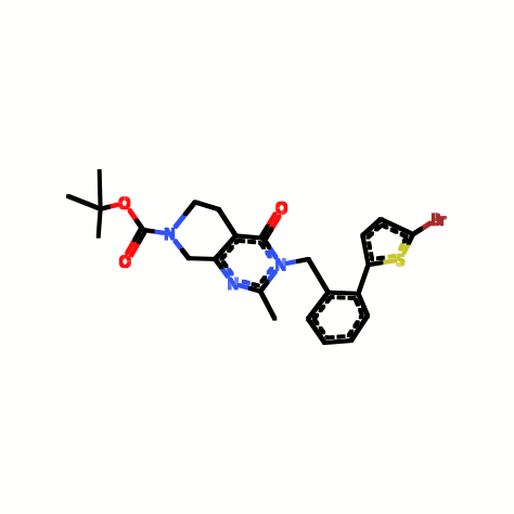 Cc1nc2c(c(=O)n1Cc1ccccc1-c1ccc(Br)s1)CCN(C(=O)OC(C)(C)C)C2